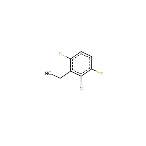 N#CCc1c(F)ccc(F)c1Cl